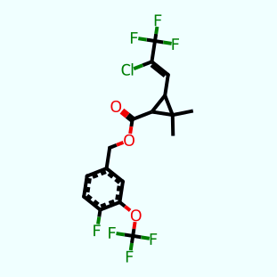 CC1(C)C(C=C(Cl)C(F)(F)F)C1C(=O)OCc1ccc(F)c(OC(F)(F)F)c1